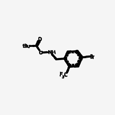 CC(C)(C)C(=O)ONCc1ccc(Br)cc1C(F)(F)F